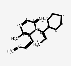 C=N/C=C\C1=C(C)N=CC(=C)N1/C(=C\C)C1CCCCC1